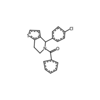 O=C(c1ccccc1)N1CCc2sccc2C1c1ccc(Cl)cc1